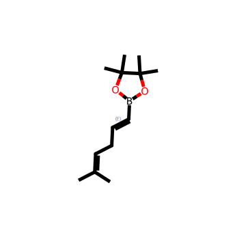 CC(C)=CC/C=C/B1OC(C)(C)C(C)(C)O1